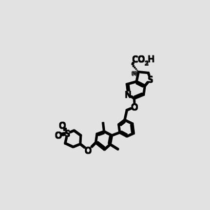 Cc1cc(OC2CCS(=O)(=O)CC2)cc(C)c1-c1cccc(COc2cc3c(cn2)[C@H](CC(=O)O)CS3)c1